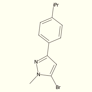 CC(C)c1ccc(-c2cc(Br)n(C)n2)cc1